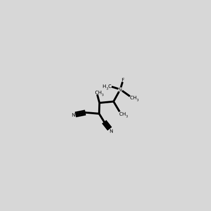 CC(C(C#N)C#N)C(C)[Si](C)(C)F